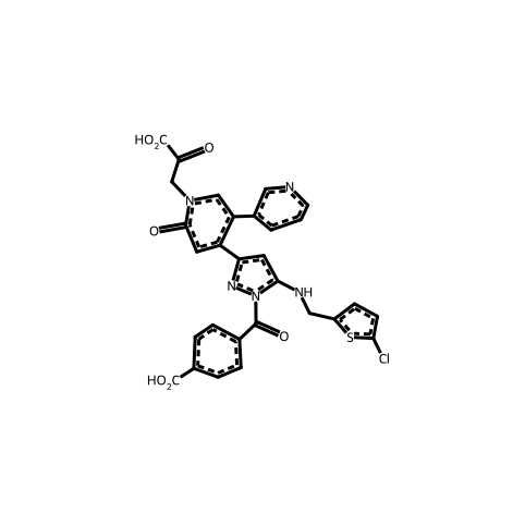 O=C(O)C(=O)Cn1cc(-c2cccnc2)c(-c2cc(NCc3ccc(Cl)s3)n(C(=O)c3ccc(C(=O)O)cc3)n2)cc1=O